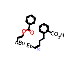 CC/C=C\CCc1ccccc1C(=O)O.CCCCC=COC(=O)c1ccccc1